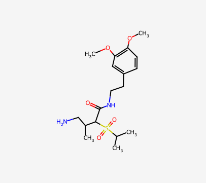 COc1ccc(CCNC(=O)C(C(C)CN)S(=O)(=O)C(C)C)cc1OC